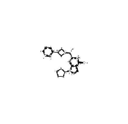 C[C@H](c1nc2c(cnn2C2CCCC2)c(=O)[nH]1)N1CC(c2cccnn2)C1